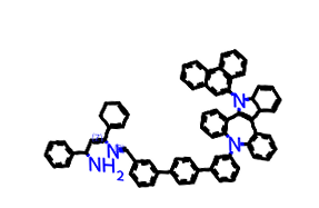 NC(/C=C(\N=C\c1cccc(-c2ccc(-c3cccc(N4c5ccccc5C5=C(c6ccccc64)N(c4cc6ccccc6c6ccccc46)C4C=CC=CC54)c3)cc2)c1)C1=CC=CCC1)c1ccccc1